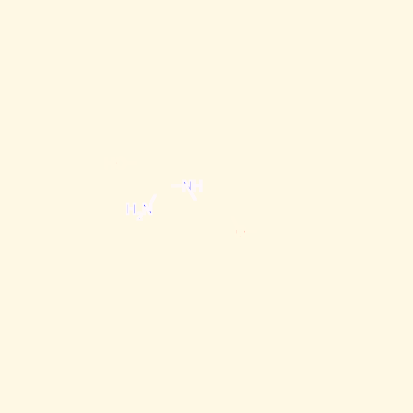 CCCOCCN/C(N)=C/O